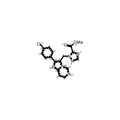 COC(=O)c1ncnn1Cc1c(-c2ccc(Cl)cc2)nc2ccncn12